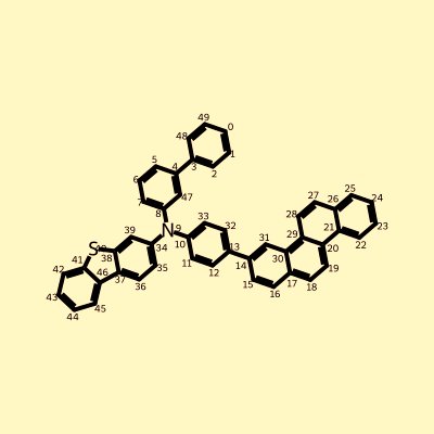 c1ccc(-c2cccc(N(c3ccc(-c4ccc5ccc6c7ccccc7ccc6c5c4)cc3)c3ccc4c(c3)sc3ccccc34)c2)cc1